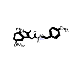 CCOc1ccc(/C=N/NC(=O)Cc2c(C)[nH]c3ccc(OC)cc23)cc1